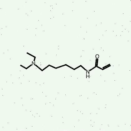 C=CC(=O)NCCCCCCN(CC)CC